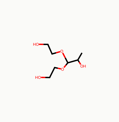 CC(O)C(OCCO)OCCO